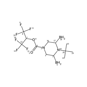 BC1CN(C(=O)OC(C(F)(F)F)C(F)(F)F)CC(B)N1C(C)(C)C